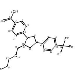 O=C(O)c1cnc(N2CC(c3ccc(C(F)(F)F)cc3)C[C@H]2COCCF)nc1